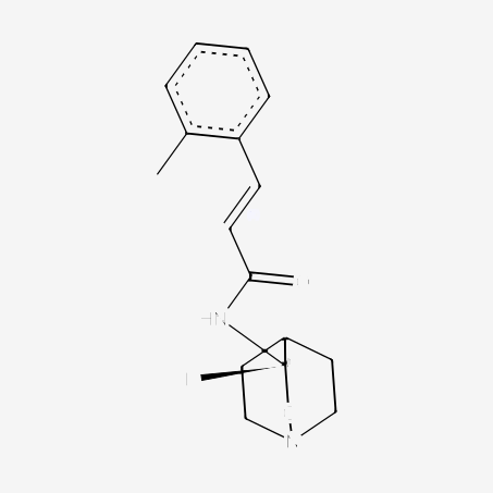 Cc1ccccc1/C=C/C(=O)N[C@H]1CN2CCC1CC2